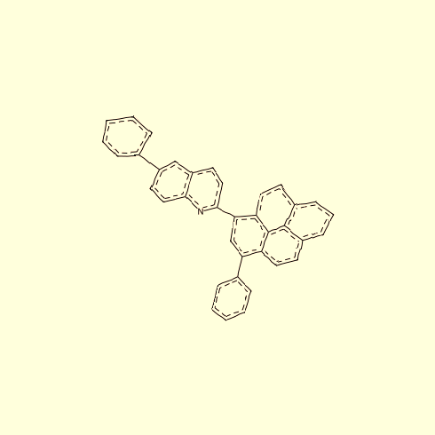 c1ccc(-c2ccc3nc(-c4cc(-c5ccccc5)c5ccc6cccc7ccc4c5c67)ccc3c2)cc1